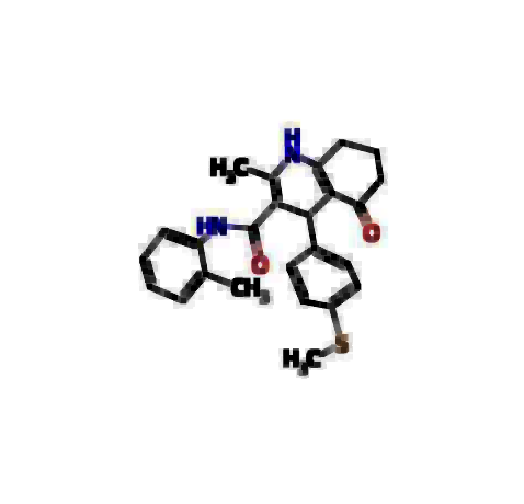 CSc1ccc(C2C(C(=O)Nc3ccccc3C)=C(C)NC3=C2C(=O)CCC3)cc1